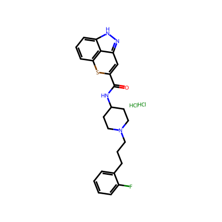 Cl.Cl.O=C(NC1CCN(CCCc2ccccc2F)CC1)C1=Cc2n[nH]c3cccc(c23)S1